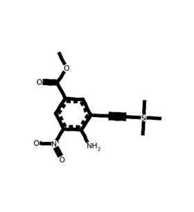 COC(=O)c1cc(C#C[Si](C)(C)C)c(N)c([N+](=O)[O-])c1